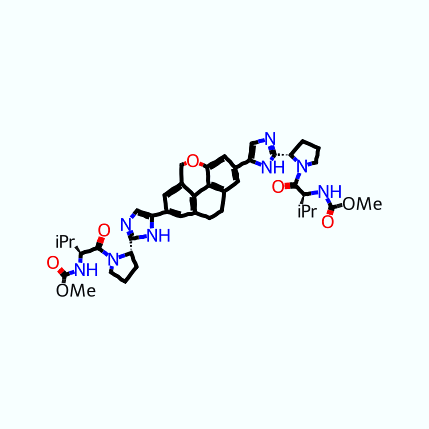 COC(=O)N[C@H](C(=O)N1CCC[C@H]1c1ncc(-c2cc3c4c(c2)COc2cc(-c5cnc([C@@H]6CCCN6C(=O)[C@@H](NC(=O)OC)C(C)C)[nH]5)cc(c2-4)CC3)[nH]1)C(C)C